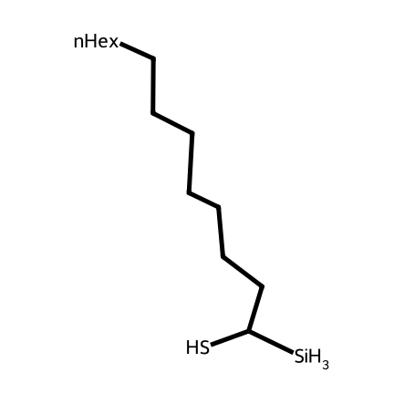 CCCCCCCCCCCCCC([SiH3])S